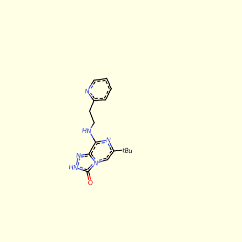 CC(C)(C)c1cn2c(=O)[nH]nc2c(NCCc2ccccn2)n1